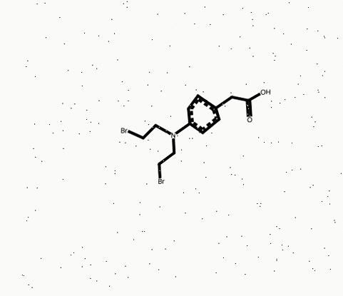 O=C(O)Cc1ccc(N(CCBr)CCBr)cc1